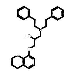 OC(COc1cccc2c1SCCC2)CN(CCc1ccccc1)CCc1ccccc1